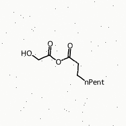 CCCCCCCC(=O)OC(=O)CO